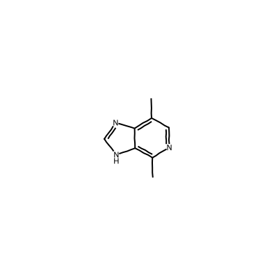 Cc1cnc(C)c2[nH]cnc12